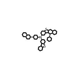 c1ccc(-c2c3ccccc3cc3sc4ccc(N(c5ccc(-c6ccc7ccccc7c6)cc5)c5ccc6sc7ccccc7c6c5)cc4c23)cc1